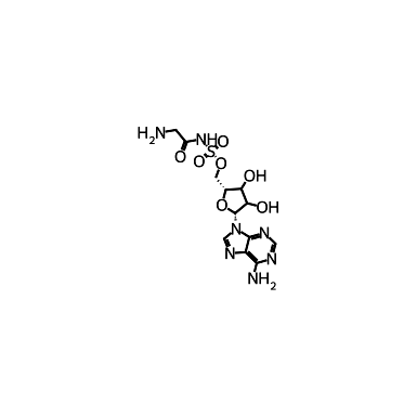 NCC(=O)NS(=O)(=O)OC[C@H]1O[C@@H](n2cnc3c(N)ncnc32)C(O)C1O